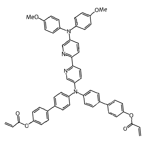 C=CC(=O)Oc1ccc(-c2ccc(N(c3ccc(-c4ccc(OC(=O)C=C)cc4)cc3)c3ccc(-c4ccc(N(c5ccc(OC)cc5)c5ccc(OC)cc5)cn4)nc3)cc2)cc1